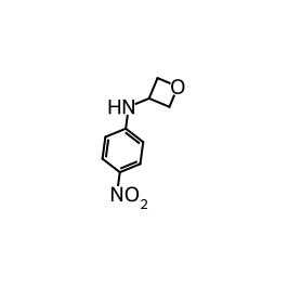 O=[N+]([O-])c1ccc(NC2COC2)cc1